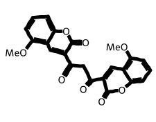 COc1cccc2oc(=O)c(C(=O)CC(=O)c3cc4c(OC)cccc4oc3=O)cc12